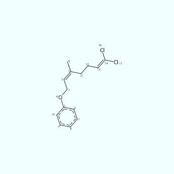 CC(=CCOc1ccccc1)CCC=C(Cl)Cl